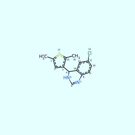 Cc1cc(C2NC=Nc3ccc(Cl)cc32)c(C)s1